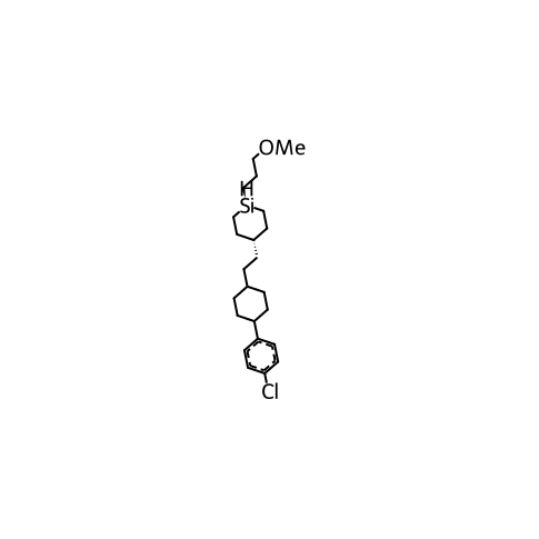 COCCC[Si@H]1CC[C@H](CCC2CCC(c3ccc(Cl)cc3)CC2)CC1